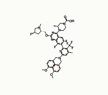 COc1ccc(CN(Cc2ccc(OC)cc2)c2cc(C)c(C(F)(F)F)c(-c3c(F)cc4c(N5CCN(C(=O)O)C[C@@H]5C)nc(OC[C@@H]5C[C@@H](F)CN5C)nc4c3F)n2)cc1